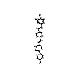 C[C@H]1CC[C@H]([C@H]2CC[C@H](C=C[C@H]3CC[C@H](CCc4ccc(F)c(F)c4)CC3)CC2)CC1